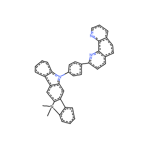 C[Si]1(C)c2ccccc2-c2cc3c(cc21)c1ccccc1n3-c1ccc(-c2ccc3ccc4cccnc4c3n2)cc1